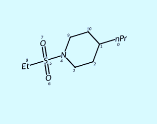 C[CH]CC1CCN(S(=O)(=O)CC)CC1